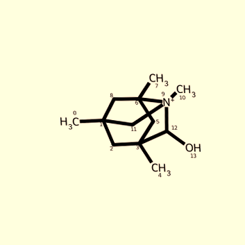 CC12CC3(C)CC(C)(C1)[N+](C)(C2)C3O